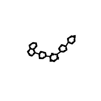 c1ccc2c(-c3ccc(-c4ncnc(-c5ccc(-c6ccncc6)cc5)n4)cc3)cccc2c1